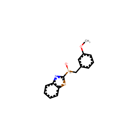 COc1cccc(C[S@+]([O-])c2nc3ccccc3s2)c1